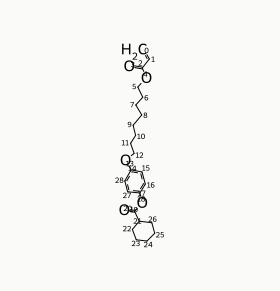 C=CC(=O)OCCCCCCCCOc1ccc(OC(=O)C2CCCCC2)cc1